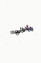 C=C1/C=C\SCCC(/C(=C\C)N(/C=C(\N)C2CCC2)CCc2ccc(OCC3CCN(C(=O)OC(C)(C)C)CC3)cc2)N1C